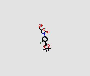 CC1(C)OB(c2ccc(N3CC(CO)OC3=O)cc2F)OC1(C)C